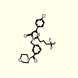 O=C(c1cccc(Cn2c(CCCC(F)(F)F)nc(-c3ccc(Cl)cc3)cc2=O)c1)N1CCOCC1